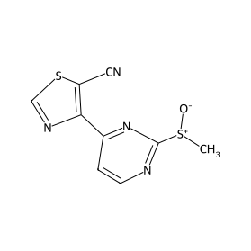 C[S+]([O-])c1nccc(-c2ncsc2C#N)n1